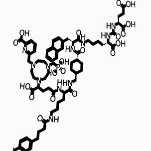 O=C(O)CC[C@H](NC(=O)N[C@@H](CCCCNC(=O)[C@@H](Cc1ccc2ccccc2c1)NC(=O)[C@H]1CC[C@H](CNC(=O)C(CCCCNC(=O)CCCc2ccc(I)cc2)NC(=O)CCC(C(=O)O)N2CCN(Cc3cccc(C(=O)O)n3)CCN(CP(=O)(O)O)CC2)CC1)C(=O)O)C(=O)O